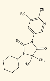 CC1(C)C(=O)N(c2cnc(C#N)c(C(F)(F)F)c2)C(=S)N1C1CCCCC1